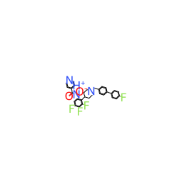 O=C(c1ccncc1)[NH+]([O-])c1cc(F)c(F)c(F)c1C1CCN(Cc2ccc(-c3ccc(F)cc3)cc2)CC1